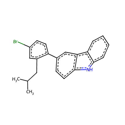 CC(C)Cc1cc(Br)ccc1-c1ccc2[nH]c3ccccc3c2c1